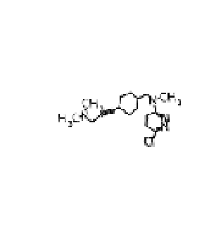 CN(C)CC#CC1CCC(CN(C)c2ccc(Cl)nn2)CC1